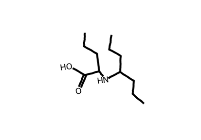 CCCC(CCC)NC(CCC)C(=O)O